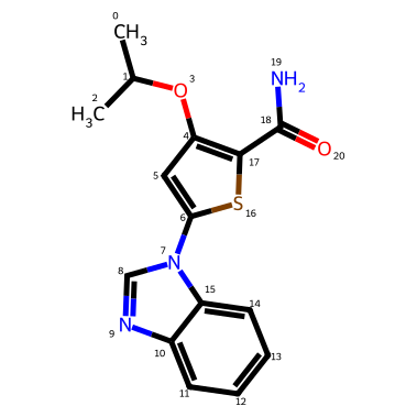 CC(C)Oc1cc(-n2cnc3ccccc32)sc1C(N)=O